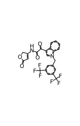 O=C1C=C(NC(=O)C(=O)c2cn(Cc3cc(C(F)(F)F)cc(C(F)(F)F)c3)c3ccccc23)CO1